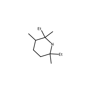 CCC1(C)CCC(C)C(C)(CC)[N]1